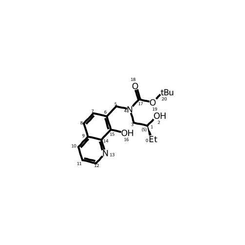 CC[C@H](O)CN(Cc1ccc2cccnc2c1O)C(=O)OC(C)(C)C